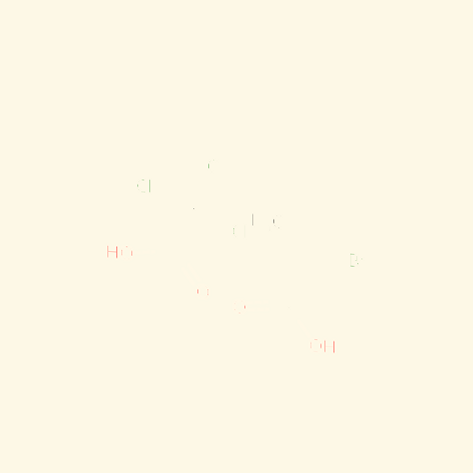 CC(Br)C(=O)O.O=C(O)C(Cl)(Cl)Cl